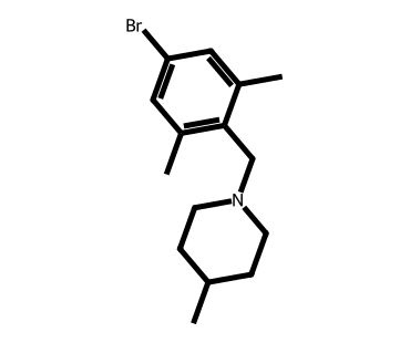 Cc1cc(Br)cc(C)c1CN1CCC(C)CC1